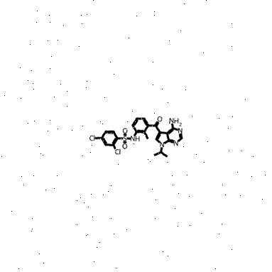 Cc1c(NS(=O)(=O)c2ccc(Cl)cc2Cl)cccc1C(=O)c1cn(C(C)C)c2ncnc(N)c12